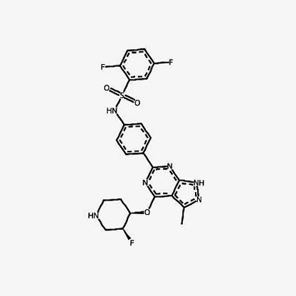 Cc1n[nH]c2nc(-c3ccc(NS(=O)(=O)c4cc(F)ccc4F)cc3)nc(O[C@@H]3CCNC[C@@H]3F)c12